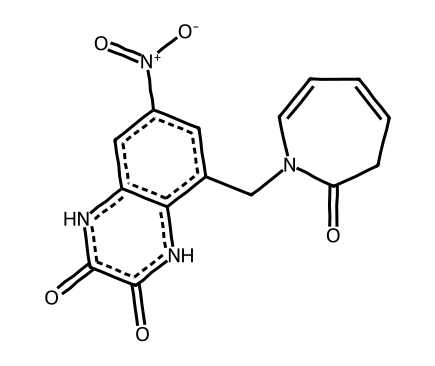 O=C1CC=CC=CN1Cc1cc([N+](=O)[O-])cc2[nH]c(=O)c(=O)[nH]c12